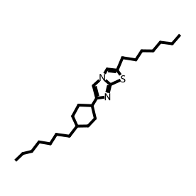 CCCCCCCc1cn2cc(C3CCC(CCCCCCC)CC3)nc2s1